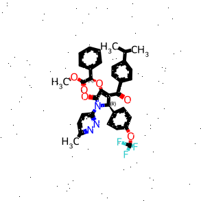 COC(=O)[C@H](OC1=C(C(=O)c2ccc(C(C)C)cc2)[C@@H](c2ccc(OC(F)(F)F)cc2)N(c2ccc(C)nn2)C1=O)c1ccccc1